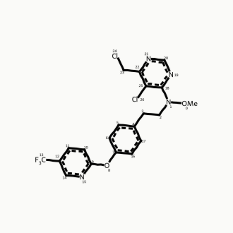 CON(CCc1ccc(Oc2ccc(C(F)(F)F)cn2)cc1)c1ncnc(CCl)c1Cl